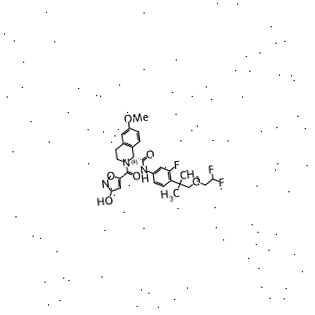 COc1ccc2c(c1)CCN(C(=O)c1cc(O)no1)[C@H]2C(=O)Nc1ccc(C(C)(C)COCC(F)F)c(F)c1